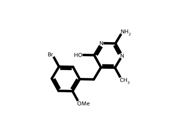 COc1ccc(Br)cc1Cc1c(C)nc(N)nc1O